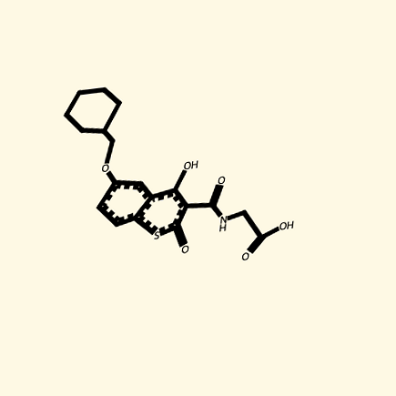 O=C(O)CNC(=O)c1c(O)c2cc(OCC3CCCCC3)ccc2sc1=O